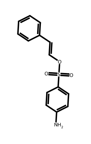 Nc1ccc(S(=O)(=O)OC=Cc2ccccc2)cc1